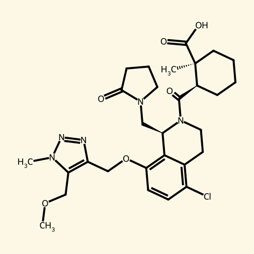 COCc1c(COc2ccc(Cl)c3c2[C@@H](CN2CCCC2=O)N(C(=O)[C@@H]2CCCC[C@]2(C)C(=O)O)CC3)nnn1C